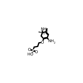 CC1=CC(N)=C(OCCCS(=O)(=O)O)C[C@]1(C)N